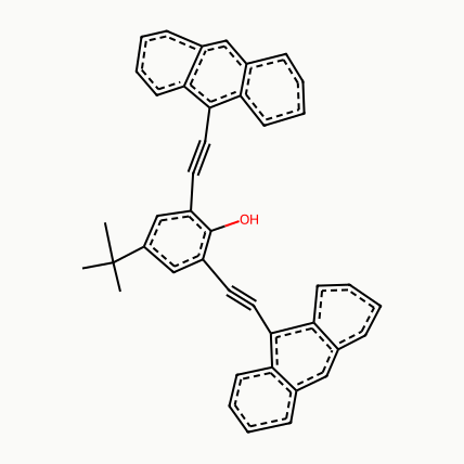 CC(C)(C)c1cc(C#Cc2c3ccccc3cc3ccccc23)c(O)c(C#Cc2c3ccccc3cc3ccccc23)c1